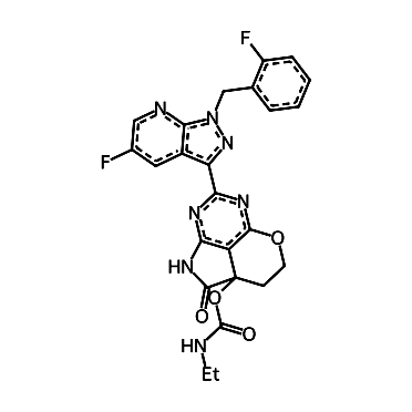 CCNC(=O)OC12CCOc3nc(-c4nn(Cc5ccccc5F)c5ncc(F)cc45)nc(c31)NC2=O